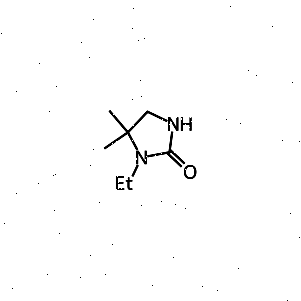 CCN1C(=O)NCC1(C)C